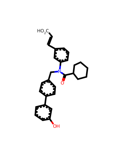 O=C(O)C=Cc1cccc(N(Cc2ccc(-c3cccc(O)c3)cc2)C(=O)C2CCCCC2)c1